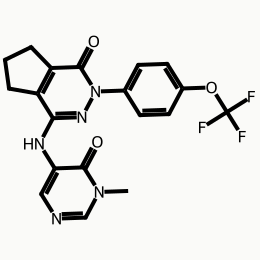 Cn1cncc(Nc2nn(-c3ccc(OC(F)(F)F)cc3)c(=O)c3c2CCC3)c1=O